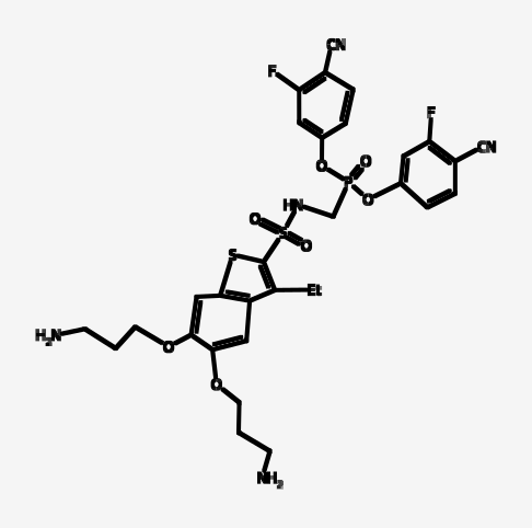 CCc1c(S(=O)(=O)NCP(=O)(Oc2ccc(C#N)c(F)c2)Oc2ccc(C#N)c(F)c2)sc2cc(OCCCN)c(OCCCN)cc12